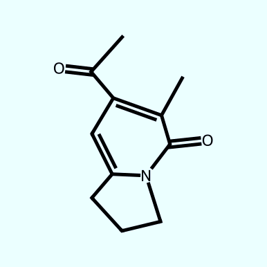 CC(=O)c1cc2n(c(=O)c1C)CCC2